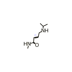 CNC(=O)/C=C/CNC(C)C